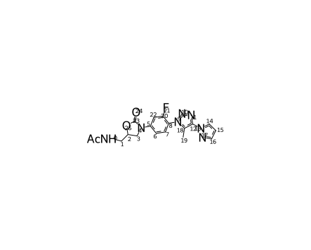 CC(=O)NCC1CN(c2ccc(-n3nnc(-n4cccn4)c3C)c(F)c2)C(=O)O1